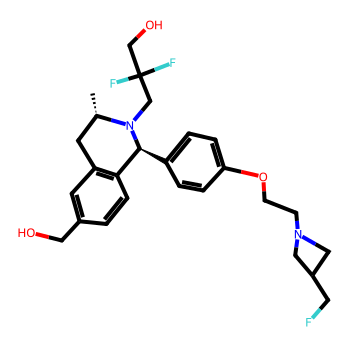 C[C@H]1Cc2cc(CO)ccc2[C@H](c2ccc(OCCN3CC(CF)C3)cc2)N1CC(F)(F)CO